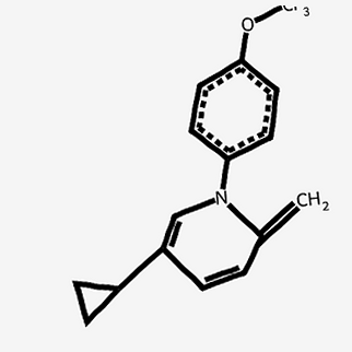 C=C1C=CC(C2CC2)=CN1c1ccc(OC(F)(F)F)cc1